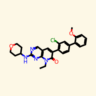 CCn1c(=O)c(-c2ccc(-c3ccccc3OC)cc2Cl)cc2cnc(NC3CCOCC3)nc21